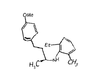 CCc1cccc(C)c1N[C@@H](C)CCc1ccc(OC)cc1